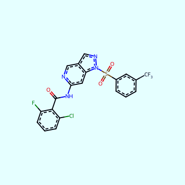 O=C(Nc1cc2c(cn1)cnn2S(=O)(=O)c1cccc(C(F)(F)F)c1)c1c(F)cccc1Cl